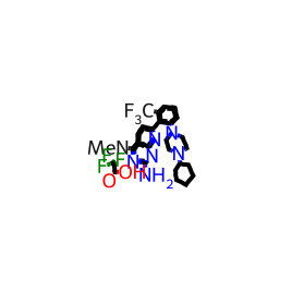 CNc1nc(N)nc2nc(-c3c(N4CCN(C5CCCCC5)CC4)cccc3C(F)(F)F)ccc12.O=C(O)C(F)(F)F